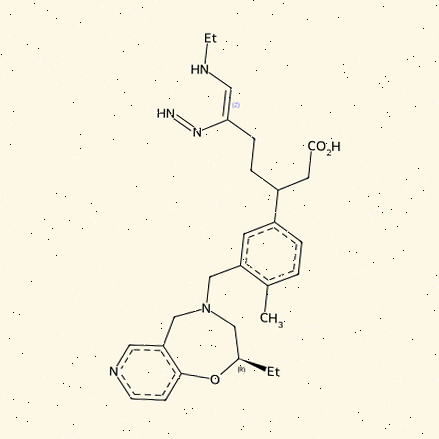 CCN/C=C(/CCC(CC(=O)O)c1ccc(C)c(CN2Cc3cnccc3O[C@H](CC)C2)c1)N=N